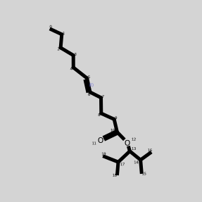 CCCCC/C=C/CCCC(=O)OC(C(C)C)C(C)C